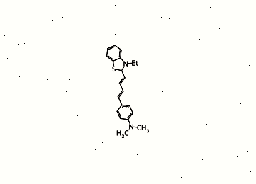 CCN1c2ccccc2SC1C=CC=Cc1ccc(N(C)C)cc1